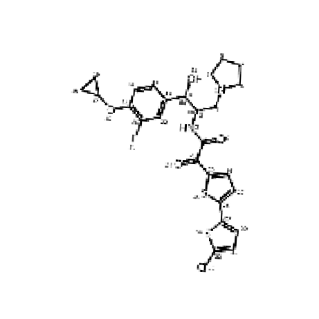 O=C(N[C@H](CN1CCCC1)[C@H](O)c1ccc(OC2CC2)c(F)c1)C(=O)c1ccc(-c2ccc(Cl)s2)s1